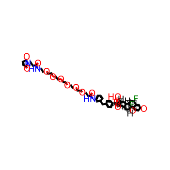 C[C@]12C[C@@H]3O[C@]45C=CC(=O)C=C4[C@@H](F)C[C@@H](C1C[C@H]1O[C@@H](c4ccc(Cc6cccc(NC(=O)CCOCCOCCOCCOCCOCCOCCNC(=O)CCN7C(=O)C=CC7=O)c6)cc4)O[C@]12C(=O)CO)[C@]35F